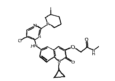 CNC(=O)COc1cc2cc(Nc3nc(N4CCCC(I)C4)ncc3Cl)ccc2n(C2CC2)c1=O